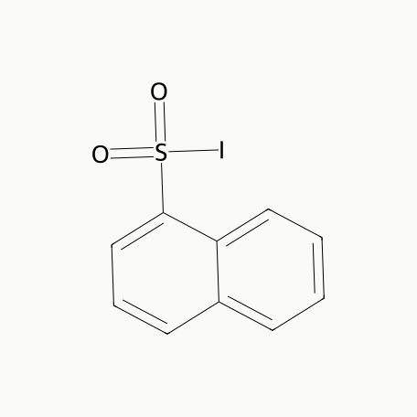 O=S(=O)(I)c1cccc2ccccc12